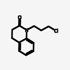 O=C1CCc2ccccc2N1CCCCl